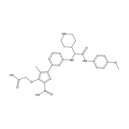 COc1ccc(NC(=O)C(Nc2cccc(-c3sc(C(=O)O)c(OCC(=O)O)c3C)c2)C2CCNCC2)cc1